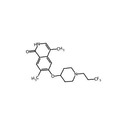 Cc1cc2c(=O)[nH]cc(C)c2cc1OC1CCN(CCC(F)(F)F)CC1